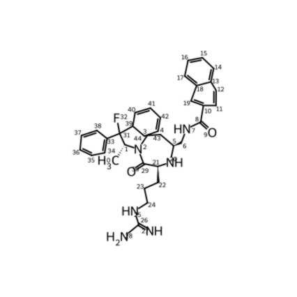 C[C@@H](N1CC[C@@H](CNC(=O)c2ccc3ccccc3c2)N[C@@H](CCCNC(=N)N)C1=O)C(F)(c1ccccc1)C1C=CC=CC1